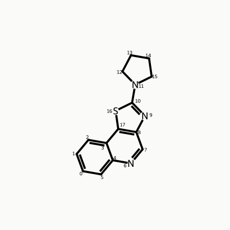 c1ccc2c(c1)ncc1nc(N3CCCC3)sc12